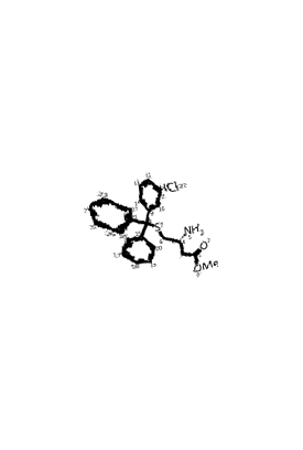 COC(=O)C[C@@H](N)CSC(c1ccccc1)(c1ccccc1)c1ccccc1.Cl